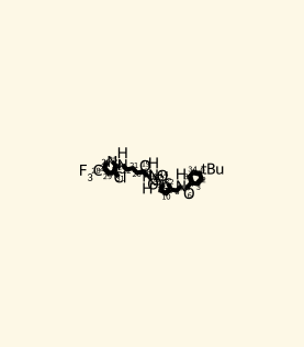 CC(C)(C)c1ccc(C(=O)NCc2ccc(S(=O)(=O)NNC(=O)CCCNc3ncc(C(F)(F)F)cc3Cl)s2)cc1